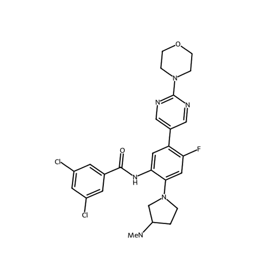 CNC1CCN(c2cc(F)c(-c3cnc(N4CCOCC4)nc3)cc2NC(=O)c2cc(Cl)cc(Cl)c2)C1